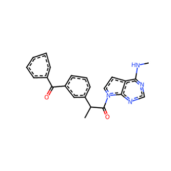 CNc1ncnc2c1ccn2C(=O)C(C)c1cccc(C(=O)c2ccccc2)c1